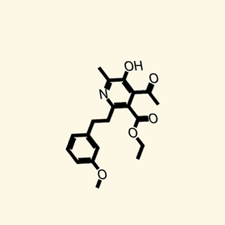 CCOC(=O)c1c(CCc2cccc(OC)c2)nc(C)c(O)c1C(C)=O